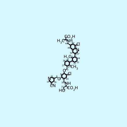 Cc1c(COc2cc(OCc3cncc(C#N)c3)c(CN[C@@H](CO)C(=O)O)cc2Cl)cccc1-c1cccc(-c2cnc3c(Cl)cc(CNC(C)C(=O)O)cc3c2)c1C